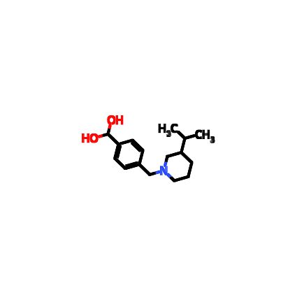 CC(C)C1CCCN(Cc2ccc(C(O)O)cc2)C1